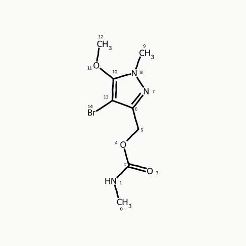 CNC(=O)OCc1nn(C)c(OC)c1Br